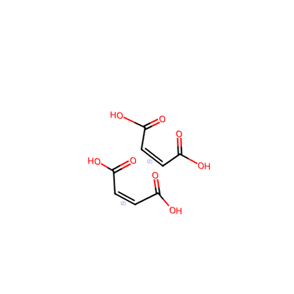 O=C(O)/C=C\C(=O)O.O=C(O)/C=C\C(=O)O